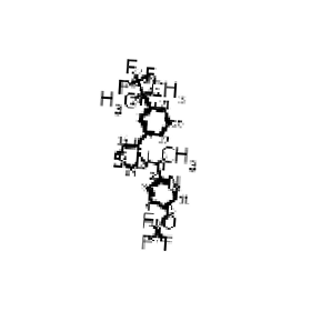 CC(c1ccc(OC(F)(F)F)cn1)N1CSC=C1c1cccc(C(C)(C)C(F)(F)F)c1